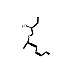 C=C/C=C\C=C(/C)OC[C@@H](O)CC